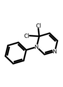 ClC1(Cl)C=CN=CN1c1ccccc1